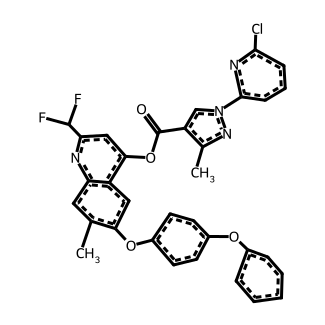 Cc1cc2nc(C(F)F)cc(OC(=O)c3cn(-c4cccc(Cl)n4)nc3C)c2cc1Oc1ccc(Oc2ccccc2)cc1